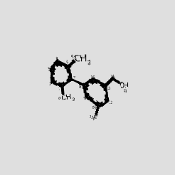 Cc1cccc(C)c1-c1cc(F)cc(CO)c1